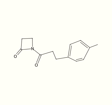 Cc1ccc(CCC(=O)N2CCC2=O)cc1